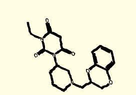 CCN1C(=O)CC(=O)N(C2CCCN(CC3COc4ccccc4O3)C2)C1=O